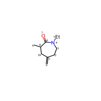 C=C1CCN(CC)C(=O)C(C)C1